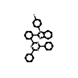 Fc1ccc(-n2c(-c3ccccc3-c3nc(-c4ccccc4)nc(-c4ccccc4)n3)nc3ccccc32)cc1